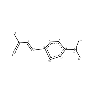 CC(=O)/C=C/c1ccc(N(C)C)cc1